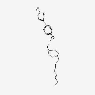 CCCCCCCCC1CCC(CCCOc2ccc(-c3ccc(F)cc3)cc2)CC1